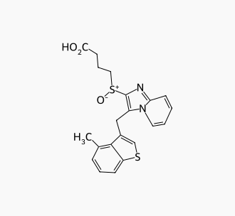 Cc1cccc2scc(Cc3c([S+]([O-])CCCC(=O)O)nc4ccccn34)c12